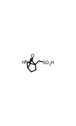 CCCC1(C)C2CCC1(CS(=O)(=O)O)C(=O)C2